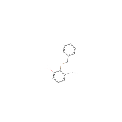 COc1cccc(O)c1SCc1ccccc1